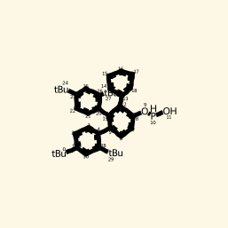 CC(C)(C)c1ccc(-c2ccc(OPO)c(-c3ccccc3)c2-c2ccc(C(C)(C)C)cc2C(C)(C)C)c(C(C)(C)C)c1